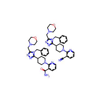 N#Cc1cccnc1N1CCC(c2nnc(CN3CCOCC3)n2Cc2ccccc2)CC1.NC(=O)c1cccnc1N1CCC(c2nnc(CN3CCOCC3)n2Cc2ccccc2)CC1